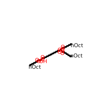 CCCCCCCC/C=C\CCCCCCCC(=O)OCC(O)COC(=O)CCCCCCC/C=C/CCCCCCCC(=O)OC(COC(=O)CCCCCCC/C=C\CCCCCCCC)COC(=O)CCCCCCC/C=C\CCCCCCCC